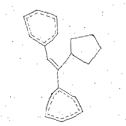 C(=C(c1ccccc1)C1CCCC1)c1ccccc1